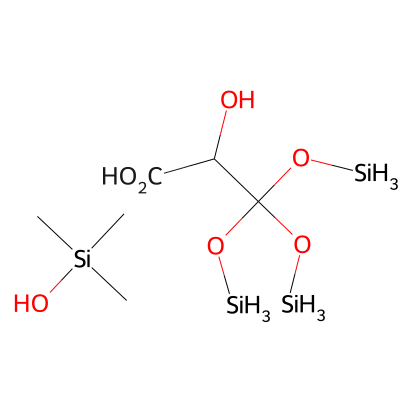 C[Si](C)(C)O.O=C(O)C(O)C(O[SiH3])(O[SiH3])O[SiH3]